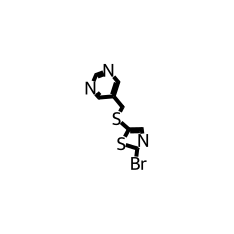 Brc1ncc(SCc2cncnc2)s1